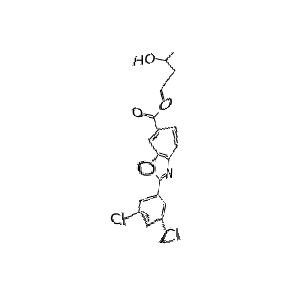 CC(O)CCOC(=O)c1ccc2nc(-c3cc(Cl)cc(Cl)c3)oc2c1